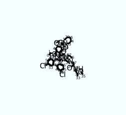 CCOc1cc(OC)c(S(=O)(=O)N2CCCCC2)cc1C1(C(=O)N2CCN(CC(=O)NCC(C)OC)CC2)N[C@H](c2ccc(Cl)cc2)[C@H](c2ccc(Cl)cc2)N1